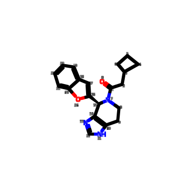 O=C(CC1CCC1)N1CCc2[nH]cnc2[C@H]1c1cc2ccccc2o1